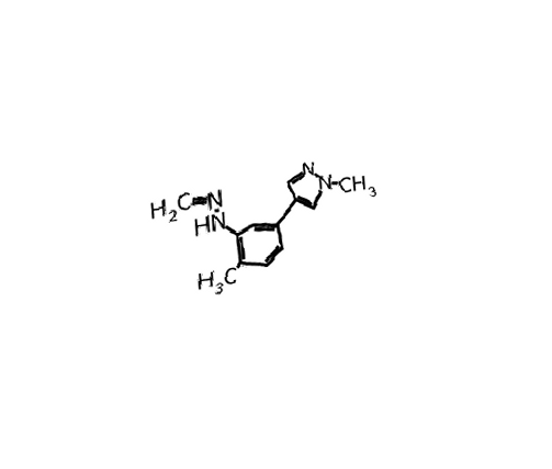 C=NNc1cc(-c2cnn(C)c2)ccc1C